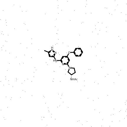 CC(=O)N[C@H]1CCN(c2cc(Oc3ccccc3)cc(Nc3cc(C)[nH]n3)n2)C1